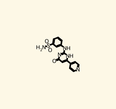 NS(=O)(=O)c1cccc(Nc2nc(=O)cc(-c3ccncc3)[nH]2)c1